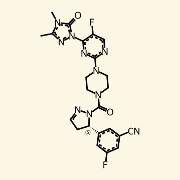 Cc1nn(-c2nc(N3CCN(C(=O)N4N=CC[C@H]4c4cc(F)cc(C#N)c4)CC3)ncc2F)c(=O)n1C